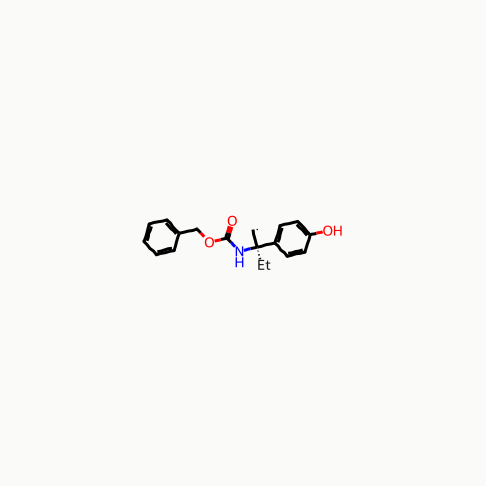 [CH2][C@](CC)(NC(=O)OCc1ccccc1)c1ccc(O)cc1